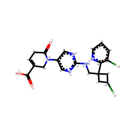 O=C(O)C1=CCC(=O)N(c2cnc(NCC3(c4ncccc4F)CC(F)C3)nc2)C1